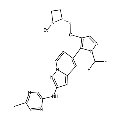 CCN1CC[C@@H]1COc1cnn(C(F)F)c1-c1ccn2nc(Nc3cnc(C)cn3)cc2c1